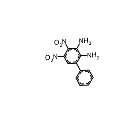 Nc1c(-c2ccccc2)cc([N+](=O)[O-])c([N+](=O)[O-])c1N